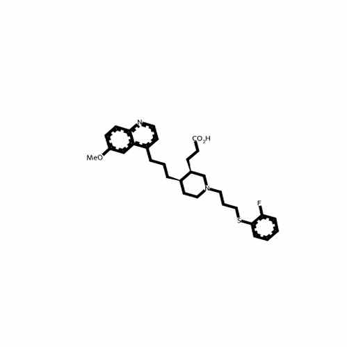 COc1ccc2nccc(CCC[C@@H]3CCN(CCCSc4ccccc4F)C[C@@H]3CCC(=O)O)c2c1